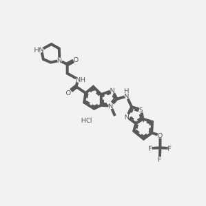 Cl.Cn1c(Nc2nc3ccc(OC(F)(F)F)cc3s2)nc2cc(C(=O)NCC(=O)N3CCNCC3)ccc21